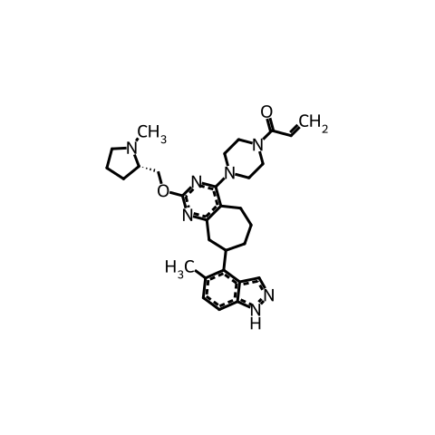 C=CC(=O)N1CCN(c2nc(OC[C@@H]3CCCN3C)nc3c2CCCC(c2c(C)ccc4[nH]ncc24)C3)CC1